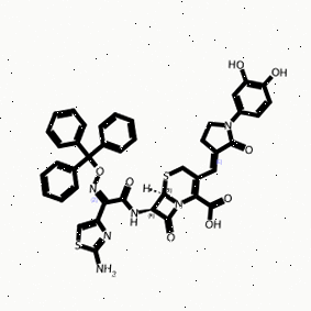 Nc1nc(/C(=N/OC(c2ccccc2)(c2ccccc2)c2ccccc2)C(=O)N[C@@H]2C(=O)N3C(C(=O)O)=C(/C=C4\CCN(c5ccc(O)c(O)c5)C4=O)CS[C@H]23)cs1